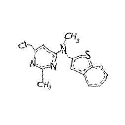 Cc1nc(Cl)cc(N(C)c2cc3ccccc3s2)n1